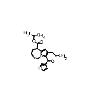 CCCc1cc2n(c1C(=O)c1ccoc1)CCCCC2C(=O)OC(C)C